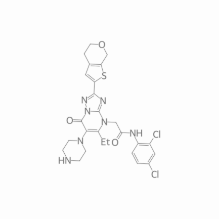 CCc1c(N2CCNCC2)c(=O)n2nc(-c3cc4c(s3)COCC4)nc2n1CC(=O)Nc1ccc(Cl)cc1Cl